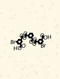 O=C(O)c1cc(Br)cc(C(=O)OC(=O)c2cccc(C(=O)OC(=O)c3cc(Br)cc(C(=O)O)c3)c2)c1